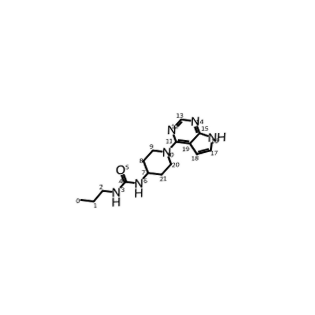 CCCNC(=O)NC1CCN(c2ncnc3[nH]ccc23)CC1